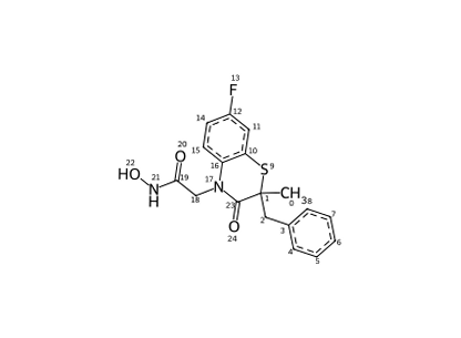 CC1(Cc2ccccc2)Sc2cc(F)ccc2N(CC(=O)NO)C1=O